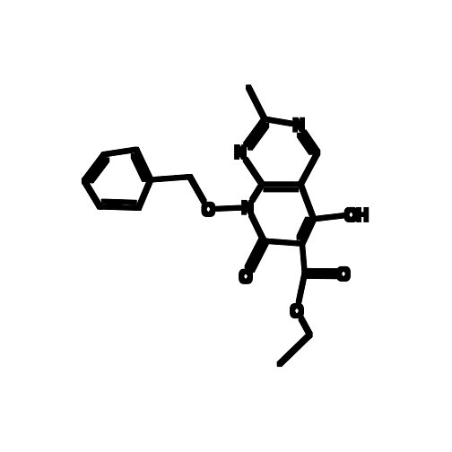 CCOC(=O)c1c(O)c2cnc(C)nc2n(OCc2ccccc2)c1=O